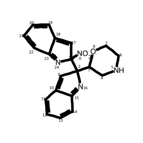 O=[N+]([O-])C1(C2(C3CNCCO3)C=c3ccccc3=N2)C=c2ccccc2=N1